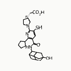 O=C(O)C[C@H]1CCN(c2nc(C3CCCC3)c(C(=O)NC3C4CC5CC3CC(O)(C5)C4)cc2S)C1